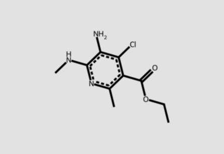 CCOC(=O)c1c(C)nc(NC)c(N)c1Cl